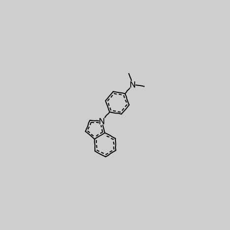 CN(C)c1ccc(-n2ccc3ccccc32)cc1